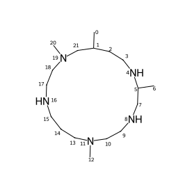 CC1CCNC(C)CNCCN(C)CCCNCCN(C)C1